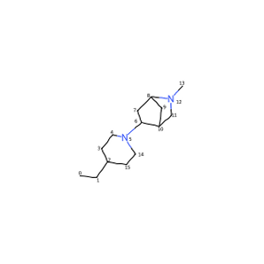 CCC1CCN(C2CC3CC2CN3C)CC1